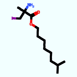 CC(C)CCCCCCOC(=O)C(C)(N)CI